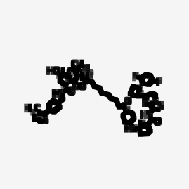 Cc1ncsc1-c1ccc(CNC(=O)[C@@H]2C[C@@H](O)CN2C(=O)[C@@H](NC(=O)CCCCCCCCC(=O)N2CCC(Nc3cccc(C(=O)Nc4cnn5ccc(N6CCC[C@@H]6c6cc(F)ccc6F)nc45)n3)CC2)C(C)(C)C)cc1